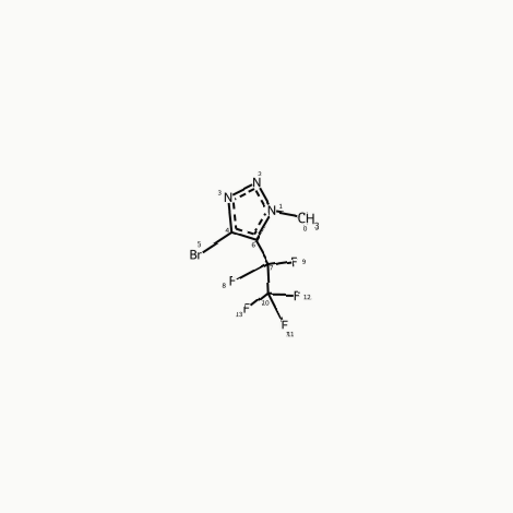 Cn1nnc(Br)c1C(F)(F)C(F)(F)F